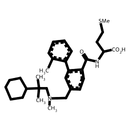 CSCCC(NC(=O)c1ccc(CN(C)CC(C)(C)C2CCCCC2)cc1-c1ccccc1C)C(=O)O